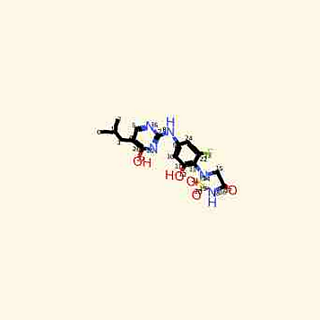 CC(C)Cc1cnc(Nc2cc(O)c(N3CC(=O)NS3(=O)=O)c(F)c2)nc1O